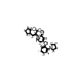 O=C(O)C(CC1CCCC1)n1ncc(Oc2ccccc2N2CCCC2)cc1=O